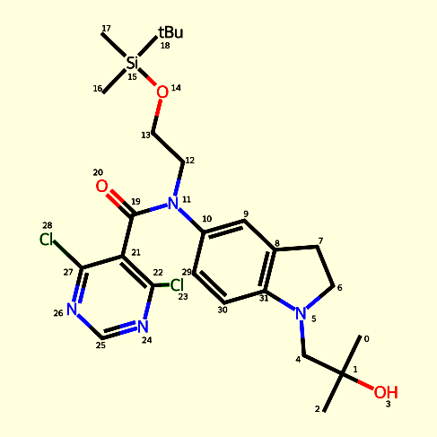 CC(C)(O)CN1CCc2cc(N(CCO[Si](C)(C)C(C)(C)C)C(=O)c3c(Cl)ncnc3Cl)ccc21